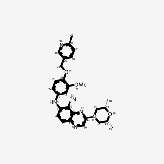 COc1cc(Nc2ccc3ncc(N4C[C@@H](C)O[C@@H](C)C4)nc3c2C#N)ccc1OCc1ccc(C)nc1